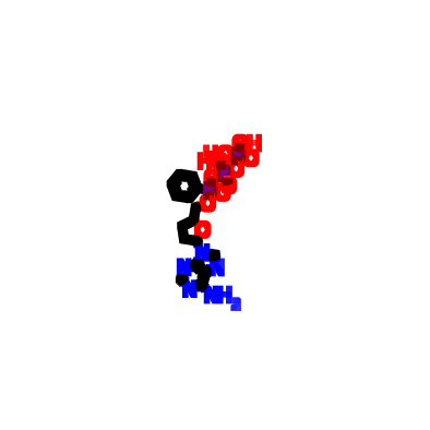 Nc1ncnc2c1ncn2C1CCC(COP(=O)(OP(=O)(O)OP(=O)(O)O)c2ccccc2)O1